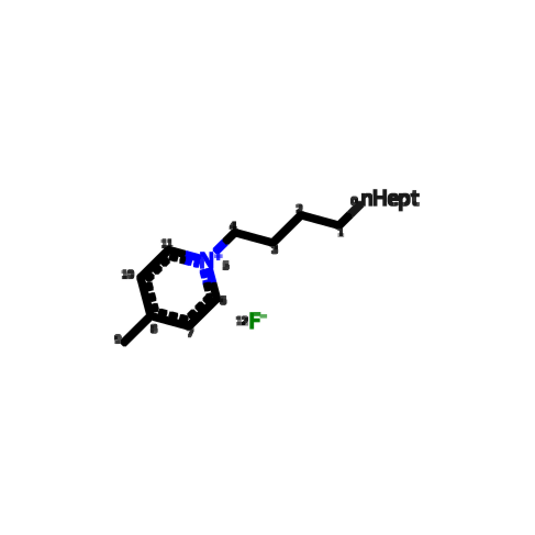 CCCCCCCCCCC[n+]1ccc(C)cc1.[F-]